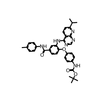 Cc1ccc(NC(=O)c2ccc(Oc3ccc(NC(=O)OC(C)(C)C)cc3)c(Nc3ncnc4nc(C(C)C)ccc34)c2)cc1